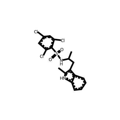 Cc1[nH]c2ccccc2c1CC(C)NS(=O)(=O)c1c(Cl)cc(Cl)cc1Cl